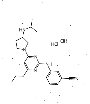 CCCc1cc(N2CCC(NC(C)C)C2)nc(Nc2cccc(C#N)c2)n1.Cl.Cl